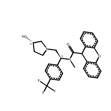 CN(C(=O)C1c2ccccc2Oc2ccccc21)[C@H](CN1CC[C@H](O)C1)c1ccc(C(F)(F)F)cc1